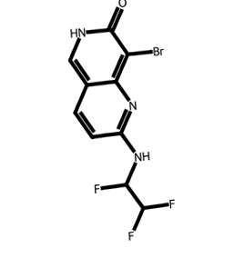 O=c1[nH]cc2ccc(NC(F)C(F)F)nc2c1Br